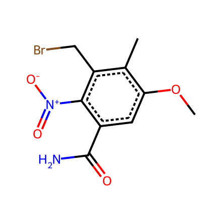 COc1cc(C(N)=O)c([N+](=O)[O-])c(CBr)c1C